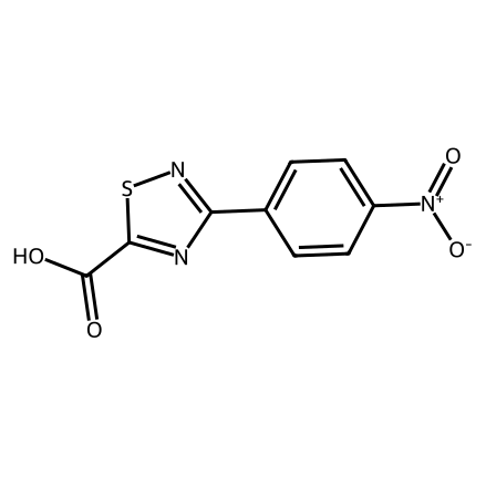 O=C(O)c1nc(-c2ccc([N+](=O)[O-])cc2)ns1